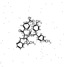 CCOc1ccccc1CC1C(=O)N(C(=O)NC(c2ccc(C)cc2)c2ccc(C)cc2)C1C(=O)c1ccc(C(=O)O)cc1